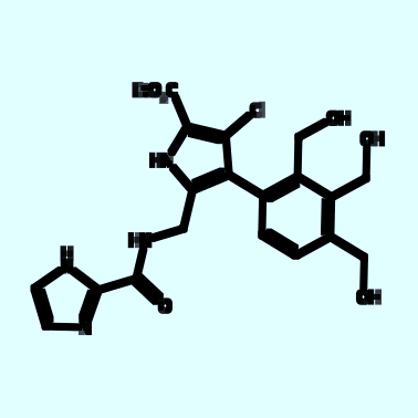 CCOC(=O)c1[nH]c(CNC(=O)c2ncc[nH]2)c(-c2ccc(CO)c(CO)c2CO)c1Cl